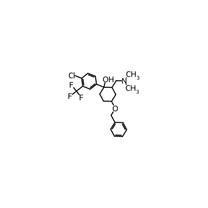 CN(C)CC1CC(OCc2ccccc2)CCC1(O)c1ccc(Cl)c(C(F)(F)F)c1